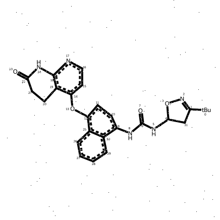 CC(C)(C)C1=NOC(NC(=O)Nc2ccc(Oc3ccnc4c3CCC(=O)N4)c3ccccc23)C1